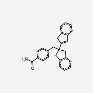 NC(=O)c1ccc(CC2(C3=Cc4ccccc4C3)[CH]c3ccccc3C2)cc1